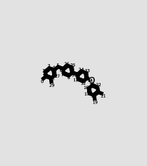 Cc1ccc(Cc2ccc(-c3ccc(Oc4ccc(C)c(C)c4)cc3)cc2)cc1C